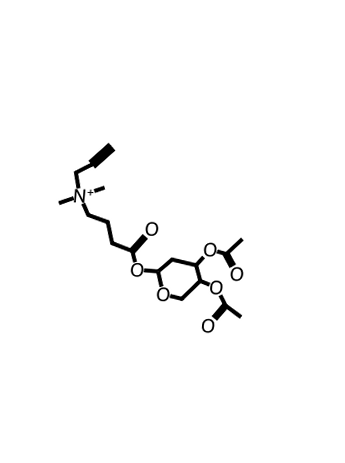 C#CC[N+](C)(C)CCCC(=O)OC1CC(OC(C)=O)C(OC(C)=O)CO1